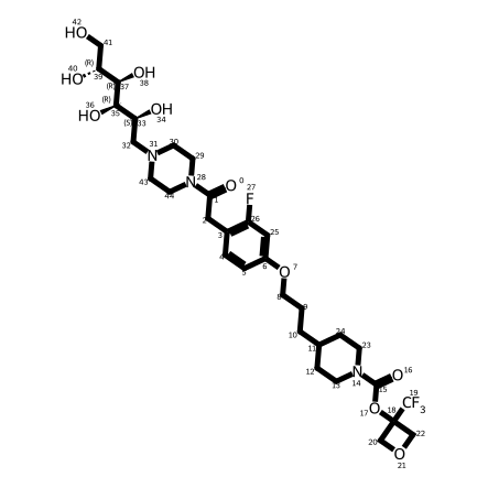 O=C(Cc1ccc(OCCCC2CCN(C(=O)OC3(C(F)(F)F)COC3)CC2)cc1F)N1CCN(C[C@H](O)[C@@H](O)[C@H](O)[C@H](O)CO)CC1